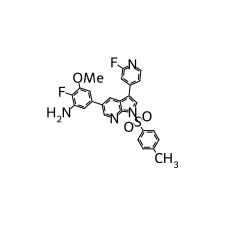 COc1cc(-c2cnc3c(c2)c(-c2ccnc(F)c2)cn3S(=O)(=O)c2ccc(C)cc2)cc(N)c1F